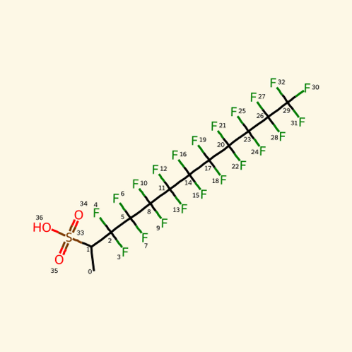 CC(C(F)(F)C(F)(F)C(F)(F)C(F)(F)C(F)(F)C(F)(F)C(F)(F)C(F)(F)C(F)(F)C(F)(F)F)S(=O)(=O)O